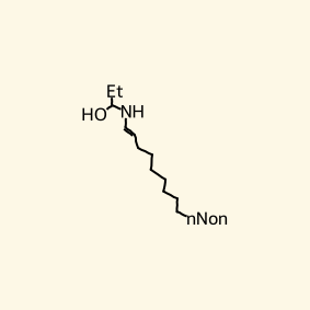 CCCCCCCCCCCCCCCCC=CNC(O)CC